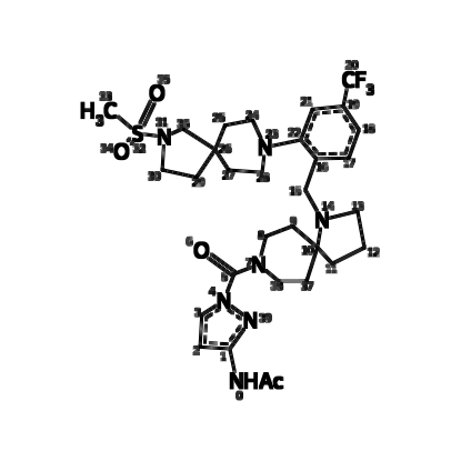 CC(=O)Nc1ccn(C(=O)N2CCC3(CCCN3Cc3ccc(C(F)(F)F)cc3N3CCC4(CC3)CCN(S(C)(=O)=O)C4)CC2)n1